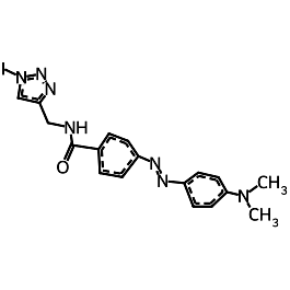 CN(C)c1ccc(N=Nc2ccc(C(=O)NCc3cn(I)nn3)cc2)cc1